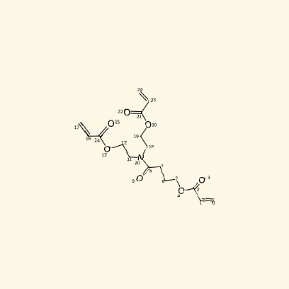 C=CC(=O)OCCCC(=O)N(CCOC(=O)C=C)CCOC(=O)C=C